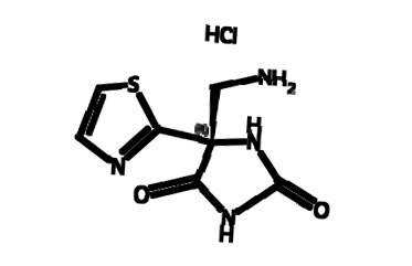 Cl.NC[C@@]1(c2nccs2)NC(=O)NC1=O